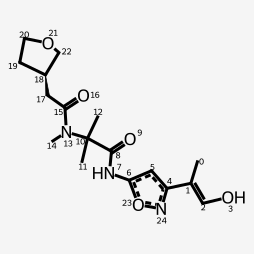 C/C(=C\O)c1cc(NC(=O)C(C)(C)N(C)C(=O)C[C@H]2CCOC2)on1